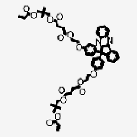 C=CC(=O)OCC(C)(C)COC(=O)CCC(=O)OCCOc1ccc(C2(c3ccc(OCCOC(=O)CCC(=O)OCC(C)(C)COC(=O)C=C)cc3)c3ccccc3-c3nc4ccccc4nc32)cc1